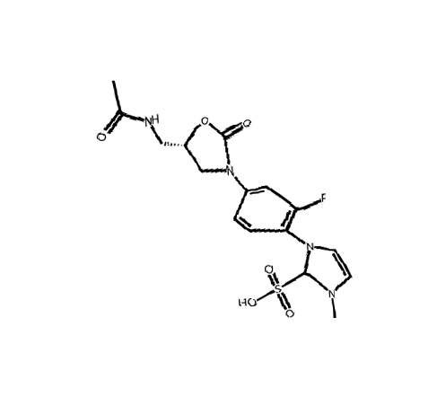 CC(=O)NC[C@H]1CN(c2ccc(N3C=CN(C)C3S(=O)(=O)O)c(F)c2)C(=O)O1